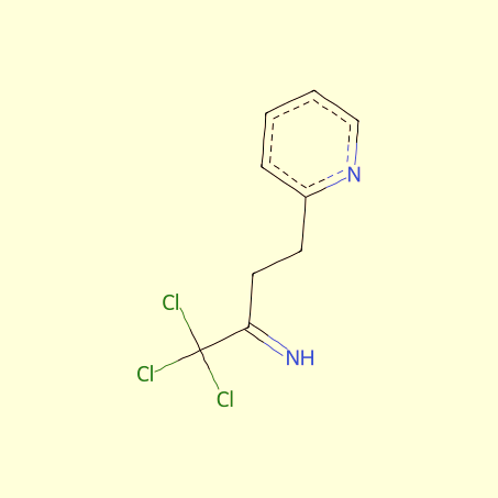 N=C(CCc1ccccn1)C(Cl)(Cl)Cl